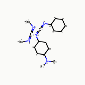 CC(C)(C)N=C=NC(C)(C)C.CCN(CC)C1CCC(N=C=NC2CCCCC2)CC1